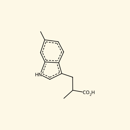 Cc1ccc2c(CC(C)C(=O)O)c[nH]c2c1